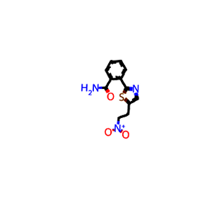 NC(=O)c1ccccc1-c1ncc(CC[N+](=O)[O-])s1